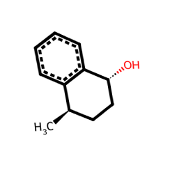 C[C@@H]1CC[C@@H](O)c2ccccc21